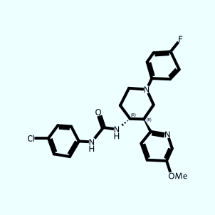 COc1ccc([C@@H]2CN(c3ccc(F)cc3)CC[C@H]2NC(=O)Nc2ccc(Cl)cc2)nc1